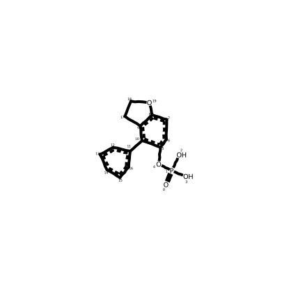 O=P(O)(O)Oc1ccc2c(c1-c1ccccc1)CCO2